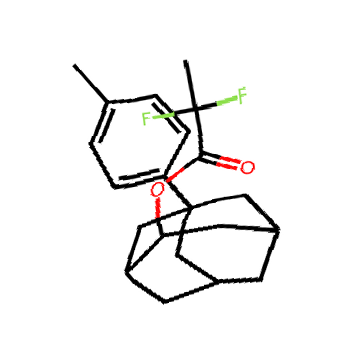 Cc1ccc(C23CC4CC(C2)C(OC(=O)C(C)(F)F)C(C4)C3)cc1